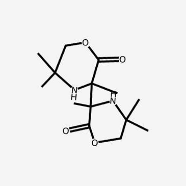 CC1(C)COC(=O)C(C)(C2(C)NC(C)(C)COC2=O)N1